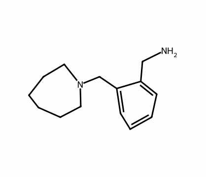 NCc1ccccc1CN1CCCCCC1